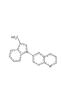 O=C(O)c1cn(-c2ccc3ncccc3c2)c2ccccc12